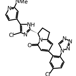 CNc1cc(-c2[nH]c([C@@H]3CCc4cc(-c5cc(Cl)ccc5-n5cnnn5)cc(=O)n43)nc2Cl)ccn1